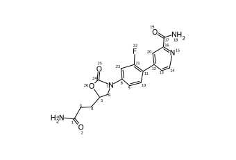 NC(=O)CCC1CN(c2ccc(-c3ccnc(C(N)=O)c3)c(F)c2)C(=O)O1